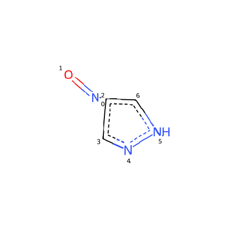 [N]=O.c1cn[nH]c1